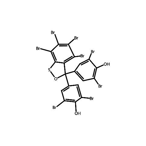 Oc1c(Br)cc(C2(c3cc(Br)c(O)c(Br)c3)OSc3c(Br)c(Br)c(Br)c(Br)c32)cc1Br